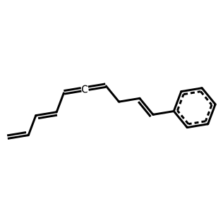 C=CC=CC=C=CCC=Cc1ccccc1